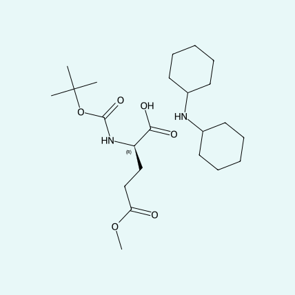 C1CCC(NC2CCCCC2)CC1.COC(=O)CC[C@@H](NC(=O)OC(C)(C)C)C(=O)O